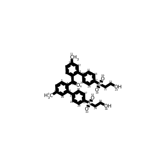 Cc1ccc(C(=O)c2ccc(C)cc2-c2ccc(S(=O)(=O)CCO)cc2)c(-c2ccc(S(=O)(=O)CCO)cc2)c1